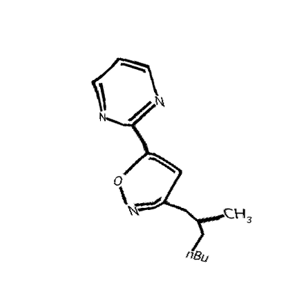 CCCCC(C)c1cc(-c2ncccn2)on1